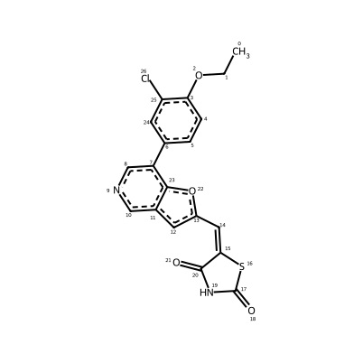 CCOc1ccc(-c2cncc3cc(C=C4SC(=O)NC4=O)oc23)cc1Cl